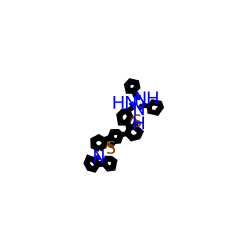 C1=CCC(C2NC(c3ccccc3)NC(c3cccc4c3sc3cccc(-c5ccc6c(c5)sc5c(-n7c8ccccc8c8ccccc87)cccc56)c34)N2)C=C1